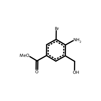 COC(=O)c1cc(Br)c(N)c(CO)c1